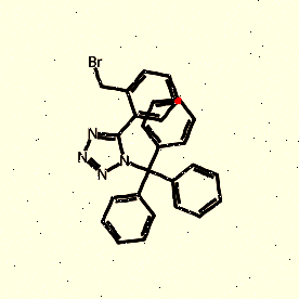 BrCc1ccccc1-c1nnnn1C(c1ccccc1)(c1ccccc1)c1ccccc1